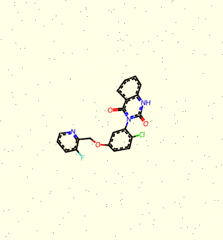 O=c1[nH]c2ccccc2c(=O)n1-c1cc(OCc2ncccc2F)ccc1Cl